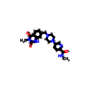 CNC(=O)c1ccc(N2CCN(Cc3ccc4c(=O)n(C)c(=O)[nH]c4c3)CC2)cn1